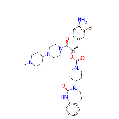 CN1CCC(N2CCN(C(=O)[C@@H](Cc3ccc(N)c(Br)c3)OC(=O)N3CCC(N4CCc5ccccc5NC4=O)CC3)CC2)CC1